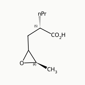 CCC[C@@H](CC1O[C@@H]1C)C(=O)O